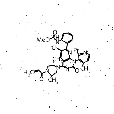 C=CC(=O)N1C[C@H](C)N(c2nc(=O)n(-c3c(C)ccnc3C(C)C)c3nc(-c4ccccc4NC(=O)OC)c(Cl)cc23)C[C@H]1C